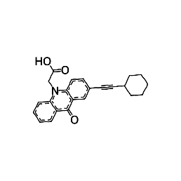 O=C(O)Cn1c2ccccc2c(=O)c2cc(C#CC3CCCCC3)ccc21